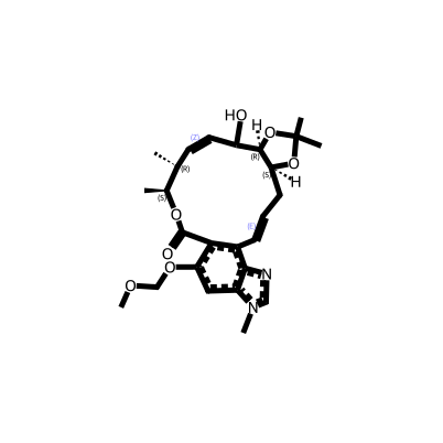 COCOc1cc2c(ncn2C)c2c1C(=O)O[C@@H](C)[C@H](C)/C=C\C(O)[C@H]1OC(C)(C)O[C@H]1C/C=C/2